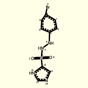 O=S(=O)(NNc1ccc(Br)cc1)c1cnc[nH]1